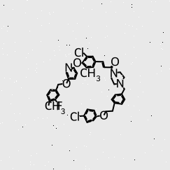 Cc1ccc(COc2ccc(Oc3c(C)cc(C=CC(=O)N4CCN(Cc5ccc(CCOc6ccc(Cl)cc6)cc5)CC4)cc3Cl)nc2)cc1F